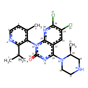 Cc1ccnc(C(C)C)c1-n1c(=O)nc(N2CCNC[C@@H]2C)c2cc(Cl)c(Cl)nc21